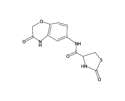 O=C1COc2ccc(NC(=O)C3CSC(=O)N3)cc2N1